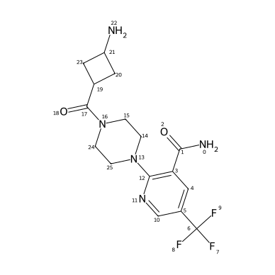 NC(=O)c1cc(C(F)(F)F)cnc1N1CCN(C(=O)C2CC(N)C2)CC1